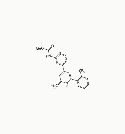 C=C1C=C(c2ccnc(NC(=O)OC)c2)C=C(c2ccccc2C(F)(F)F)N1